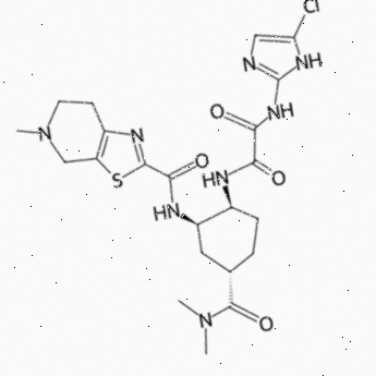 CN1CCc2nc(C(=O)N[C@@H]3C[C@@H](C(=O)N(C)C)CC[C@@H]3NC(=O)C(=O)Nc3ncc(Cl)[nH]3)sc2C1